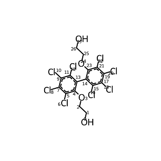 OCCOc1c(Cl)c(Cl)c(Cl)c(Cl)c1-c1c(Cl)c(Cl)c(Cl)c(Cl)c1OCCO